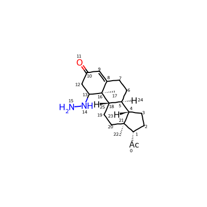 CC(=O)[C@H]1CC[C@H]2[C@@H]3CCC4=CC(=O)CC(NN)[C@]4(C)[C@H]3CC[C@]12C